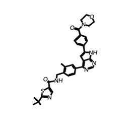 Cc1cc(-c2ncnc3[nH]c(-c4ccc(C(=O)N5CCOCC5)cc4)cc23)ccc1CNC(=O)c1cnc(C(C)(C)C)s1